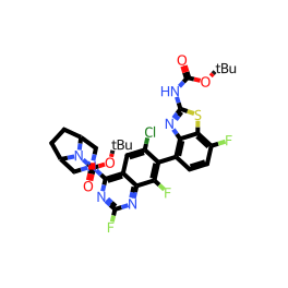 CC(C)(C)OC(=O)Nc1nc2c(-c3c(Cl)cc4c(N5CC6CCC(C5)N6C(=O)OC(C)(C)C)nc(F)nc4c3F)ccc(F)c2s1